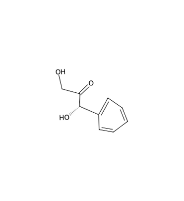 O=C(CO)[C@@H](O)c1ccccc1